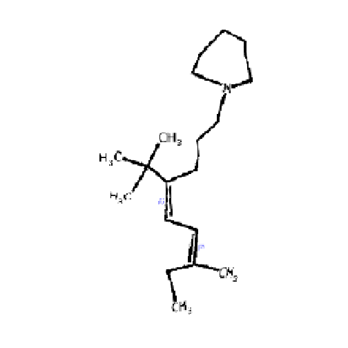 CC/C(C)=C\C=C(/CCCN1CCCCC1)C(C)(C)C